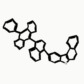 c1ccc(-c2c3ccccc3c(-c3ccc(-c4ccc5oc6ccc7ccccc7c6c5c4)c4ccccc34)c3ccccc23)cc1